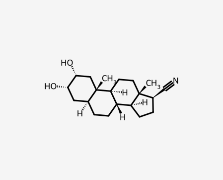 C[C@]12C[C@@H](O)[C@@H](O)C[C@@H]1CC[C@@H]1[C@@H]2CC[C@]2(C)[C@@H](C#N)CC[C@@H]12